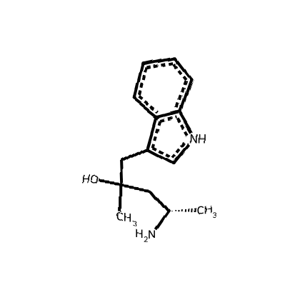 C[C@H](N)CC(C)(O)Cc1c[nH]c2ccccc12